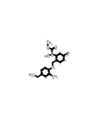 CCc1ccc(OCc2ccc(Br)cc2N(O)C(=O)OC)c(C)c1